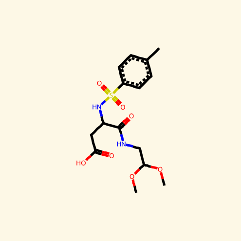 COC(CNC(=O)C(CC(=O)O)NS(=O)(=O)c1ccc(C)cc1)OC